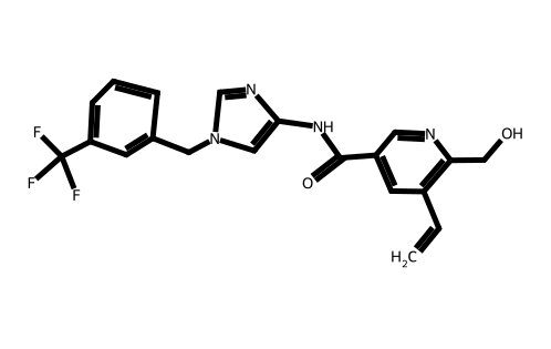 C=Cc1cc(C(=O)Nc2cn(Cc3cccc(C(F)(F)F)c3)cn2)cnc1CO